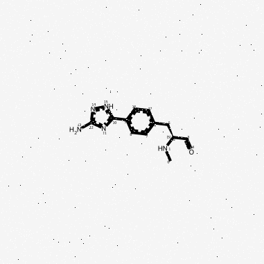 CN[C@H](C=O)Cc1ccc(-c2nc(N)n[nH]2)cc1